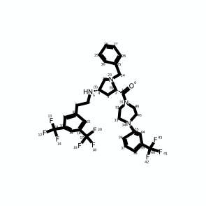 O=C([C@@H]1C[C@H](NCCc2cc(C(F)(F)F)cc(C(F)(F)F)c2)CN1Cc1ccccc1)N1CCN(c2cccc(C(F)(F)F)c2)CC1